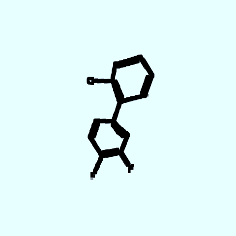 Fc1ccc(-c2[c]cccc2Cl)cc1F